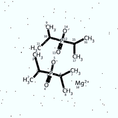 CC(C)P(=O)([O-])C(C)C.CC(C)P(=O)([O-])C(C)C.[Mg+2]